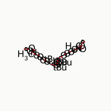 Cc1c(OCc2ccccc2)c(=O)ccn1CCOCCOCCOCCOCCCc1cc(C(C)(C)C)c(OC(=O)Oc2c(C(C)(C)C)cc(CCCOCCOCCOCCOCCn3ccc(=O)c(OCc4ccccc4)c3C)cc2C(C)(C)C)c(C(C)(C)C)c1